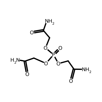 NC(=O)COP(=O)(OCC(N)=O)OCC(N)=O